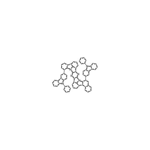 c1ccc(-n2c3ccccc3c3cc(-c4cccc5c6cccc7c8nc9c(nc8n(c45)c67)c4cccc5c6c7ccccc7cc(-c7ccc8c(c7)c7ccccc7n8-c7ccccc7)c6n9c45)ccc32)cc1